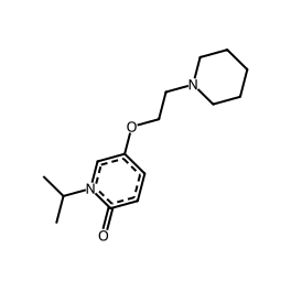 CC(C)n1cc(OCCN2CCCCC2)ccc1=O